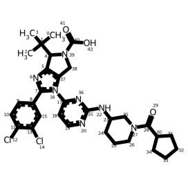 CC(C)(C)C1c2nc(-c3ccc(Cl)c(Cl)c3)n(-c3ccnc(NC4CCCN(C(=O)C5CCCC5)C4)n3)c2CN1C(=O)O